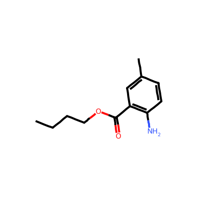 CCCCOC(=O)c1cc(C)ccc1N